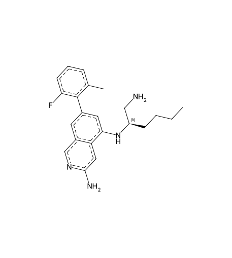 CCCC[C@H](CN)Nc1cc(-c2c(C)cccc2F)cc2cnc(N)cc12